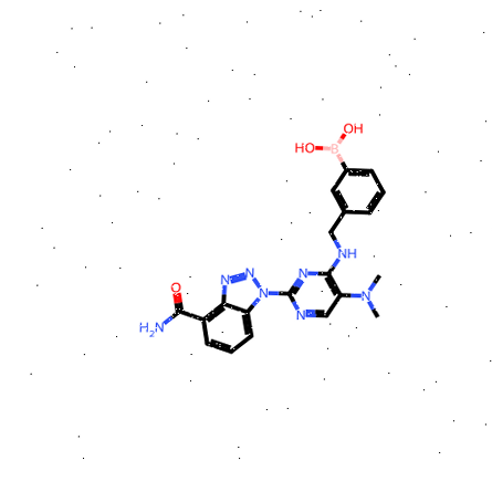 CN(C)c1cnc(-n2nnc3c(C(N)=O)cccc32)nc1NCc1cccc(B(O)O)c1